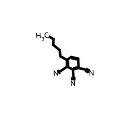 CCCCCc1ccc(C#N)c(C#N)c1C#N